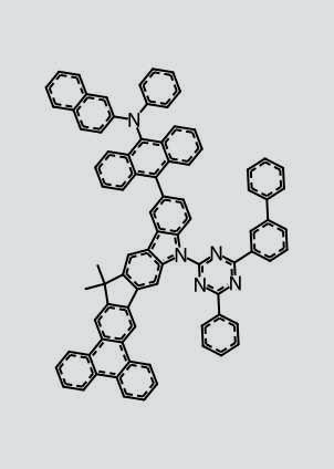 CC1(C)c2cc3c4ccccc4c4ccccc4c3cc2-c2cc3c(cc21)c1cc(-c2c4ccccc4c(N(c4ccccc4)c4ccc5ccccc5c4)c4ccccc24)ccc1n3-c1nc(-c2ccccc2)nc(-c2cccc(-c3ccccc3)c2)n1